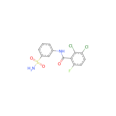 NS(=O)(=O)c1cccc(NC(=O)c2c(F)ccc(Cl)c2Cl)c1